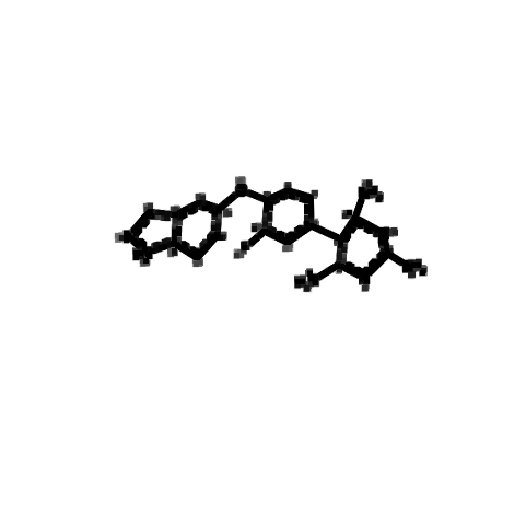 Nc1nc(N)c(-c2ccc(Oc3ccc4[nH]ncc4c3)c(F)c2)c(N)n1